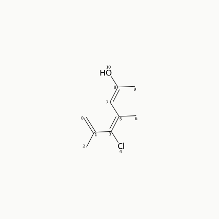 C=C(C)/C(Cl)=C(C)\C=C(/C)O